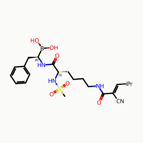 CC(C)C=C(C#N)C(=O)NCCCC[C@H](NS(C)(=O)=O)C(=O)N[C@@H](Cc1ccccc1)B(O)O